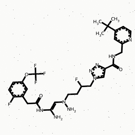 CC(C)(C)c1ccnc(CNC(=O)c2cn(CC(F)CCN(N)/C=C(\N)NC(=O)Cc3cc(OC(F)(F)F)ccc3F)nn2)c1